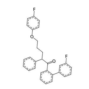 O=C(c1ccccc1-c1cccc(F)c1)C(CCCOc1ccc(F)cc1)c1ccccc1